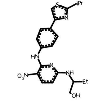 CCC(CO)Nc1ccc([N+](=O)[O-])c(Nc2ccc(-c3csc(C(C)C)n3)cc2)n1